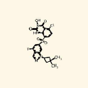 CC1(C)CC(n2ncc3c(F)cc(S(=O)(=O)c4ccc(Cl)c5c(=O)n(O)c(=O)[nH]c45)cc32)C1